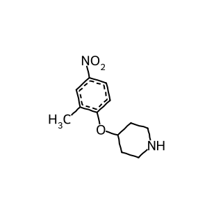 Cc1cc([N+](=O)[O-])ccc1OC1CCNCC1